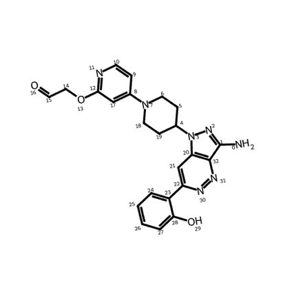 Nc1nn(C2CCN(c3ccnc(OCC=O)c3)CC2)c2cc(-c3ccccc3O)nnc12